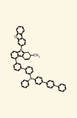 CC1C=Cc2c(n(-c3ccc4c(c3)oc3ccccc34)c3cccc(-c4cccc(-c5cccc(N(c6ccccc6)c6ccc(-c7ccc(-c8ccccc8)cc7)cc6)c5)c4)c23)C1